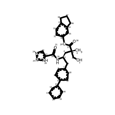 C[C@@](CO)(C[C@@H](Cc1ccc(-c2ccccc2)cc1)NC(=O)c1cnn[nH]1)C(=O)Oc1ccc2c(c1)CCC2